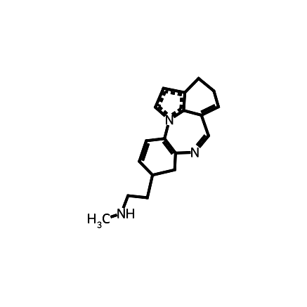 CNCCC1C=CC2=C(C1)N=CC1=CCCc3ccn2c31